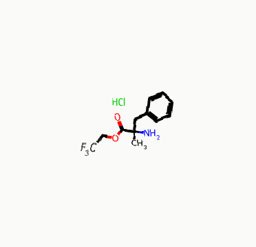 C[C@](N)(Cc1ccccc1)C(=O)OCC(F)(F)F.Cl